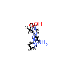 Cc1ccc(-n2nc(N3CCN(C(=O)O)C(C(C)(C)C)C3)cc2N)nc1